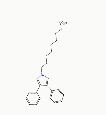 O=C(O)CCCCCCCCn1cc(-c2ccccc2)c(-c2ccccc2)c1